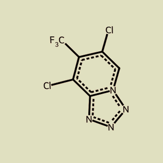 FC(F)(F)c1c(Cl)cn2nnnc2c1Cl